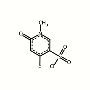 Cn1cc(S(=O)(=O)Cl)c(F)cc1=O